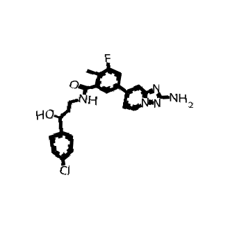 Cc1c(F)cc(-c2ccn3nc(N)nc3c2)cc1C(=O)NCC[C@H](O)c1ccc(Cl)cc1